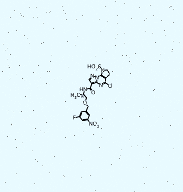 C[C@H](COCc1cc(F)cc([N+](=O)[O-])c1)NC(=O)c1cnn2c3c(c(Cl)nc12)CCN3C(=O)O